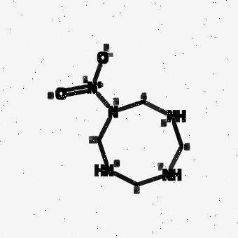 O=[N+]([O-])N1CNCNCNC1